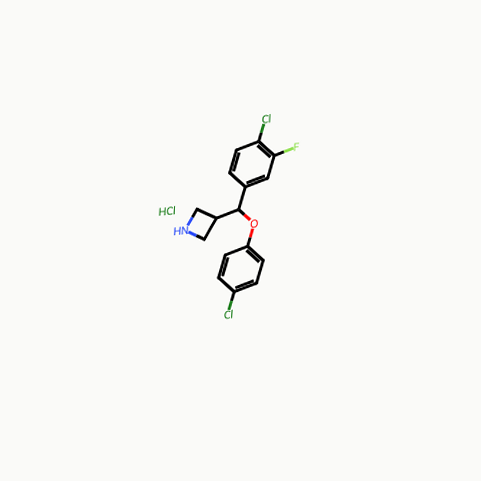 Cl.Fc1cc(C(Oc2ccc(Cl)cc2)C2CNC2)ccc1Cl